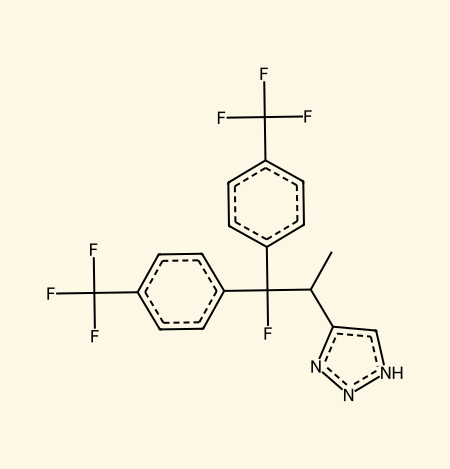 CC(c1c[nH]nn1)C(F)(c1ccc(C(F)(F)F)cc1)c1ccc(C(F)(F)F)cc1